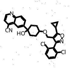 N#Cc1ccnc2ccc(C3(O)CCC(OCc4c(-c5c(Cl)cccc5Cl)noc4C4CC4)CC3)cc12